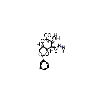 C/N=N\N(F)[C@@H]1[C@@H](O)[C@H](C(=O)O)O[C@@H]2CO[C@H](c3ccccc3)O[C@H]12